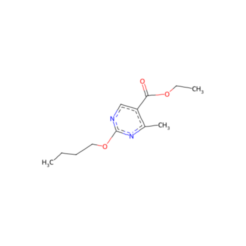 CCCCOc1ncc(C(=O)OCC)c(C)n1